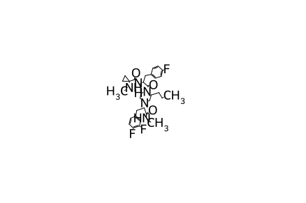 CCCC1CN(C(Cc2ccc(F)c(F)c2)C(=O)NC)CCN1C(=O)C(Cc1ccc(F)cc1)NC(=O)C1(NC)CC1